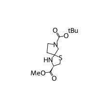 COC(=O)[C@@H]1CSC2(CCN(C(=O)OC(C)(C)C)C2)N1